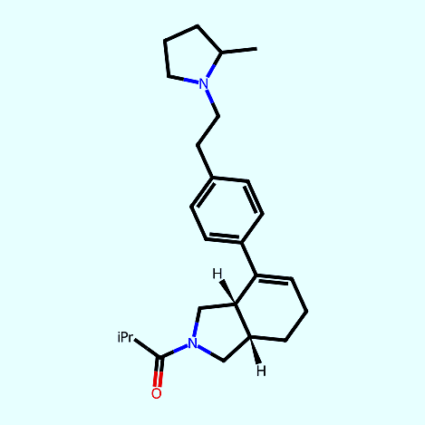 CC(C)C(=O)N1C[C@H]2CCC=C(c3ccc(CCN4CCCC4C)cc3)[C@H]2C1